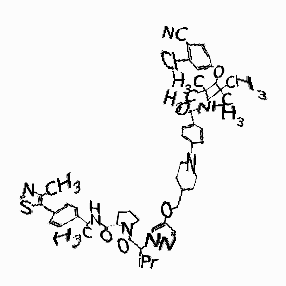 Cc1ncsc1-c1ccc([C@H](C)NC(=O)[C@@H]2CCCN2C(=O)[C@H](C(C)C)n2cc(OCC3CCN(c4ccc(C(=O)N[C@H]5C(C)(C)[C@H](Oc6ccc(C#N)c(Cl)c6)C5(C)C)cc4)CC3)cn2)cc1